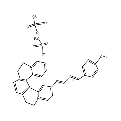 COc1ccc(/C=C/C=C/c2cc[n+]3c(c2)-c2c(ccc4c2-c2cccc[n+]2CC4)CC3)cc1.O=S(=O)([O-])C(F)(F)F.O=S(=O)([O-])C(F)(F)F